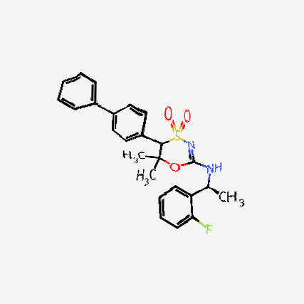 C[C@H](NC1=NS(=O)(=O)C(c2ccc(-c3ccccc3)cc2)C(C)(C)O1)c1ccccc1F